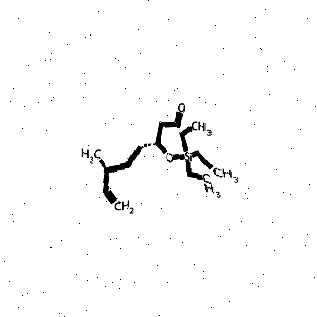 C=C[C@@H](C)CC[C@H](CC=O)O[Si](CC)(CC)CC